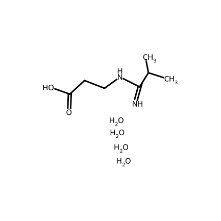 CC(C)C(=N)NCCC(=O)O.O.O.O.O